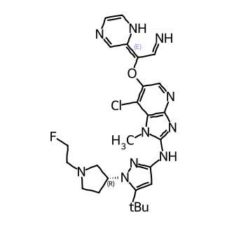 Cn1c(Nc2cc(C(C)(C)C)n([C@@H]3CCN(CCF)C3)n2)nc2ncc(O/C(C=N)=C3\C=NC=CN3)c(Cl)c21